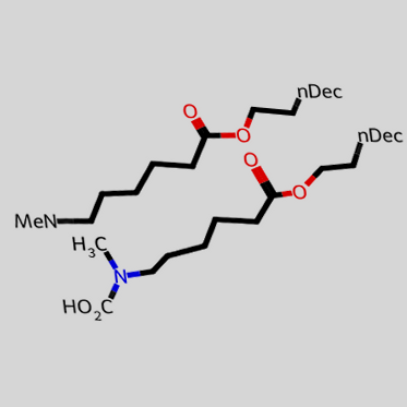 CCCCCCCCCCCCOC(=O)CCCCCN(C)C(=O)O.CCCCCCCCCCCCOC(=O)CCCCCNC